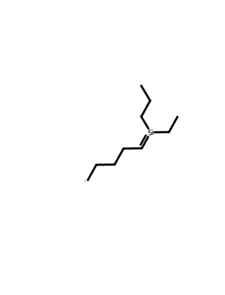 [CH2]CCCC=[Si](CC)CCC